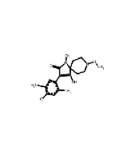 CON1CCC2(CC1)C(O)=C(c1cc(C)c(Cl)cc1C)C(=O)N2C